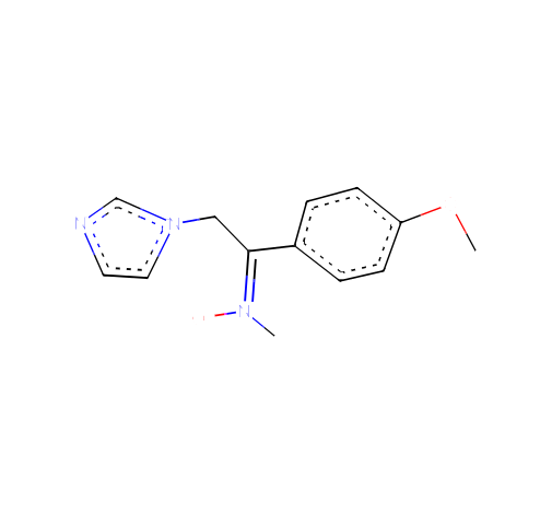 COc1ccc(/C(Cn2ccnc2)=[N+](\C)[O-])cc1